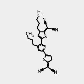 CCCCc1cc(C2=CCC(=C(C#N)C#N)S2)sc1C1=CC(CCCC)C(=C(C#N)C#N)S1